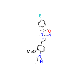 COc1cc(/C=C/C2=NOCC(C)(c3ccc(F)cc3)N2C)ccc1-n1cnc(C)c1